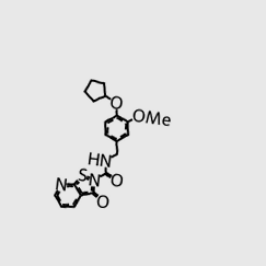 COc1cc(CNC(=O)n2sc3ncccc3c2=O)ccc1OC1CCCC1